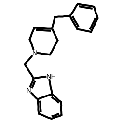 C1=C(Cc2ccccc2)CCN(Cc2nc3ccccc3[nH]2)C1